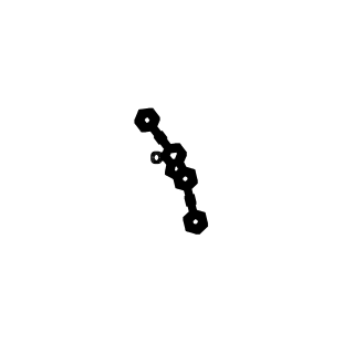 O=C1C(C#Cc2ccccc2)=CC=C2C1=Cc1cc(C#Cc3ccccc3)ccc12